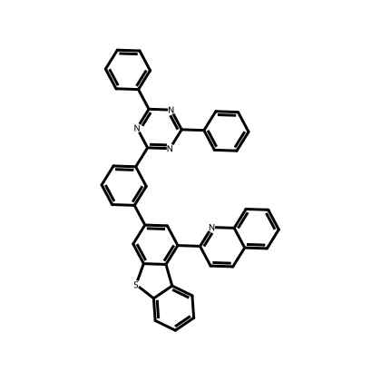 c1ccc(-c2nc(-c3ccccc3)nc(-c3cccc(-c4cc(-c5ccc6ccccc6n5)c5c(c4)sc4ccccc45)c3)n2)cc1